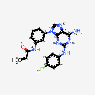 C=CC(=O)Nc1cccc(-n2cnc3c(N)nc(Nc4ccc(F)cc4)nc32)c1